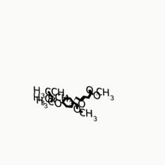 COC(=O)C/C=C/C[C@]1(C(=O)OC)CC[C@@H](O[Si](C)(C)C(C)(C)C)CC1